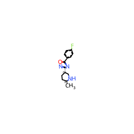 C[C@@H]1CC[C@H](c2noc(-c3ccc(F)cc3)n2)CN1